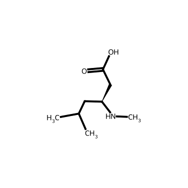 CN[C@H](CC(=O)O)CC(C)C